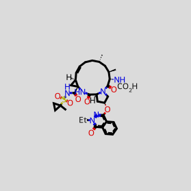 CCn1nc(O[C@@H]2C[C@H]3C(=O)N[C@]4(C(=O)NS(=O)(=O)C5(C)CC5)C[C@H]4C=CCC[C@H](C)C[C@@H](C)[C@H](NC(=O)O)C(=O)N3C2)c2ccccc2c1=O